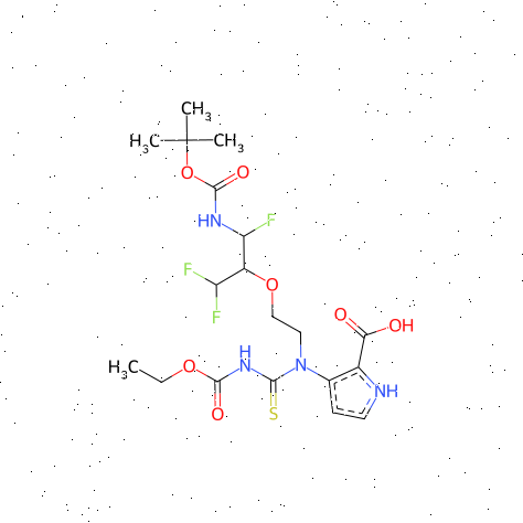 CCOC(=O)NC(=S)N(CCOC(C(F)F)C(F)NC(=O)OC(C)(C)C)c1cc[nH]c1C(=O)O